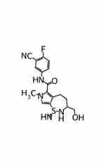 Cn1cc2c(c1C(=O)Nc1ccc(F)c(C#N)c1)CCC(CO)NS2=N